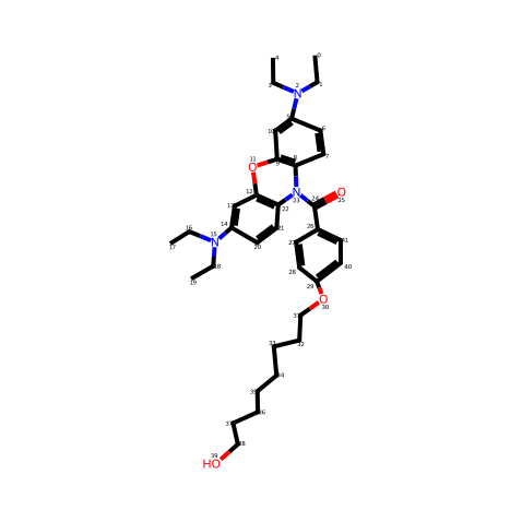 CCN(CC)c1ccc2c(c1)Oc1cc(N(CC)CC)ccc1N2C(=O)c1ccc(OCCCCCCCCO)cc1